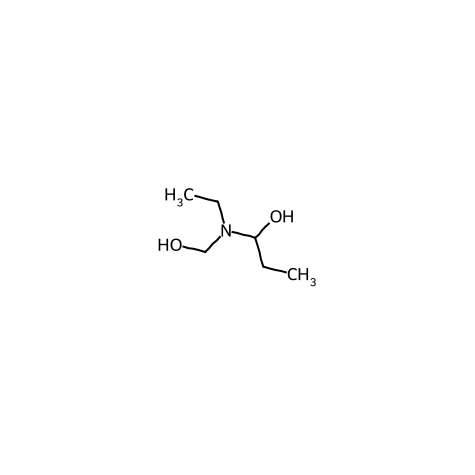 CCC(O)N(CC)CO